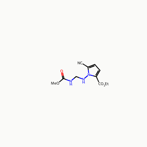 CCOC(=O)c1ccc(C#N)n1NCNC(=O)OC